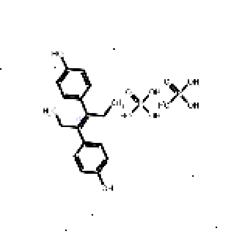 CC/C(=C(/CC)c1ccc(O)cc1)c1ccc(O)cc1.O=P(O)(O)O.O=P(O)(O)O